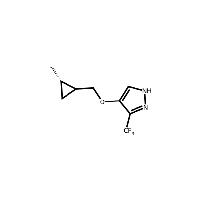 C[C@H]1CC1COc1c[nH]nc1C(F)(F)F